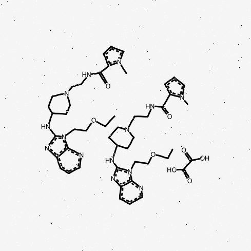 CCOCCn1c(NC2CCN(CCNC(=O)c3cccn3C)CC2)nc2cccnc21.CCOCCn1c(NC2CCN(CCNC(=O)c3cccn3C)CC2)nc2cccnc21.O=C(O)C(=O)O